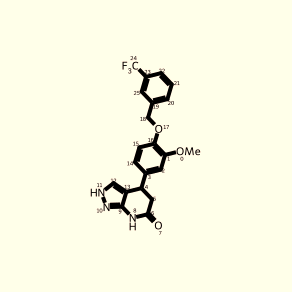 COc1cc(C2CC(=O)Nc3n[nH]cc32)ccc1OCc1cccc(C(F)(F)F)c1